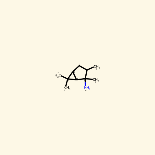 CC1CC2C(C2(C)C)C1(C)N